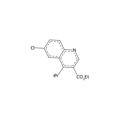 CCOC(=O)c1cnc2ccc(Cl)cc2c1C(C)C